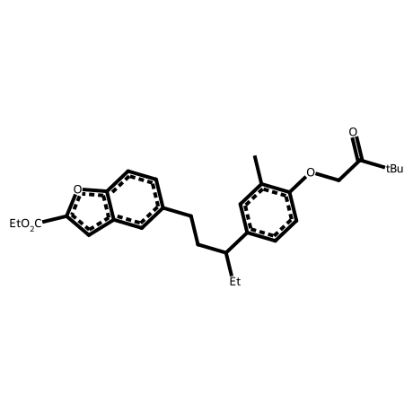 CCOC(=O)c1cc2cc(CCC(CC)c3ccc(OCC(=O)C(C)(C)C)c(C)c3)ccc2o1